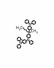 CCCCCC(CC)(c1ccc(N(c2ccccc2)c2ccccc2)cc1)c1ccc(N(c2ccccc2)c2ccc3c(c2)c2ccccc2n3-c2ccccc2)cc1